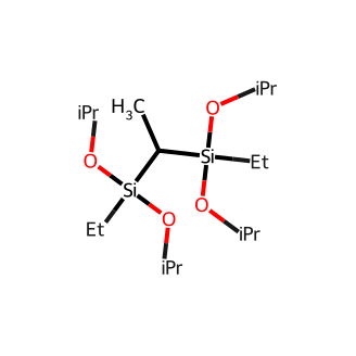 CC[Si](OC(C)C)(OC(C)C)C(C)[Si](CC)(OC(C)C)OC(C)C